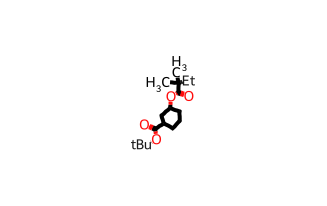 CCC(C)(C)C(=O)OC1CCCC(C(=O)OC(C)(C)C)C1